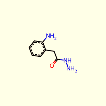 NNC(=O)Cc1ccccc1N